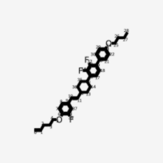 C=CCCCOc1ccc(/C=C/C2CCC(c3ccc(-c4ccc(OCCCC)cc4)c(F)c3F)CC2)cc1F